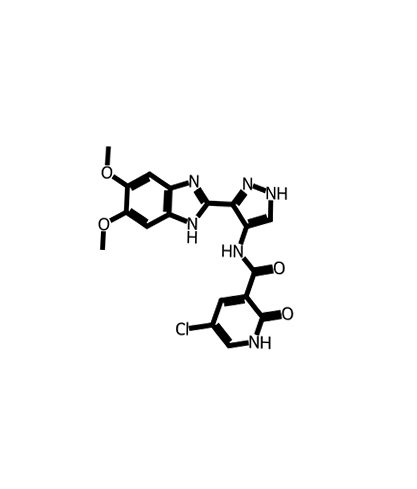 COc1cc2nc(-c3n[nH]cc3NC(=O)c3cc(Cl)c[nH]c3=O)[nH]c2cc1OC